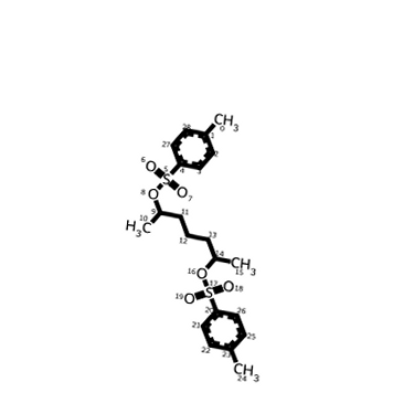 Cc1ccc(S(=O)(=O)OC(C)CCCC(C)OS(=O)(=O)c2ccc(C)cc2)cc1